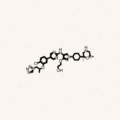 CC(Cn1cnnn1)Oc1cc(-c2cnc(Nc3cn(C4CCC([C@@]5(C)CNC[C@@H](C)O5)CC4)nc3OCCO)nc2)ccc1Cl